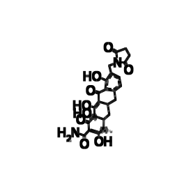 C[C@@H]1C(O)=C(C(N)=O)C(=O)[C@@]2(O)C(O)=C3C(=O)c4c(ccc(CN5C(=O)CCC5=O)c4O)CC3CC12